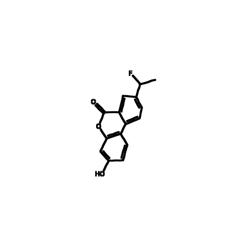 CC(F)c1ccc2c(c1)c(=O)oc1cc(O)ccc12